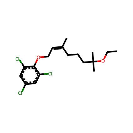 CCOC(C)(C)CCCC(C)=CCOc1c(Cl)cc(Cl)cc1Cl